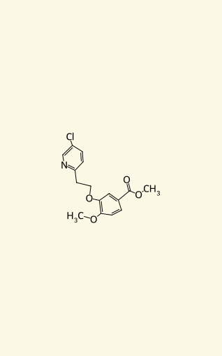 COC(=O)c1ccc(OC)c(OCCc2ccc(Cl)cn2)c1